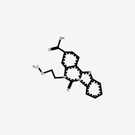 COCCn1c(=S)n2c3ccccc3nc2c2ccc(C(=O)O)cc21